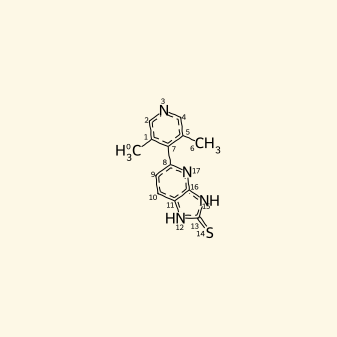 Cc1cncc(C)c1-c1ccc2[nH]c(=S)[nH]c2n1